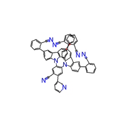 N#Cc1ccccc1-c1ccc2c(c1)c1cc(-c3ccccc3C#N)ccc1n2-c1cc(C#N)c(-c2cccnc2)cc1-n1c2ccc(-c3ccccc3C#N)cc2c2cc(-c3ccccc3C#N)ccc21